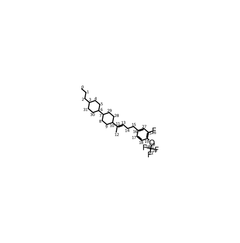 CCCC1CCC(C2CCC(C(C)=CCCc3ccc(OC(F)(F)F)c(F)c3)CC2)CC1